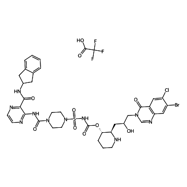 O=C(NS(=O)(=O)N1CCN(C(=O)Nc2nccnc2C(=O)NC2Cc3ccccc3C2)CC1)O[C@H]1CCCN[C@@H]1CC(O)Cn1cnc2cc(Br)c(Cl)cc2c1=O.O=C(O)C(F)(F)F